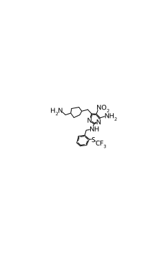 NCC1CCC(Cc2nc(NCc3ccccc3SC(F)(F)F)nc(N)c2[N+](=O)[O-])CC1